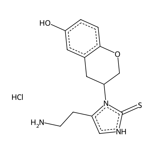 Cl.NCCc1c[nH]c(=S)n1C1COc2ccc(O)cc2C1